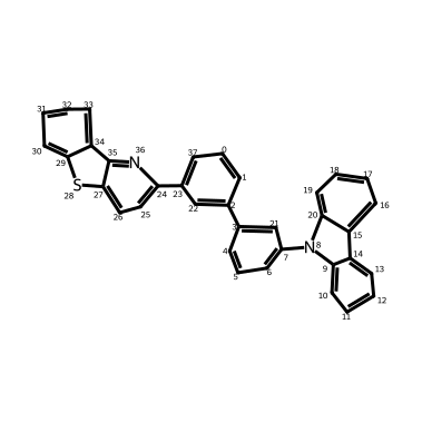 c1cc(-c2cccc(-n3c4ccccc4c4ccccc43)c2)cc(-c2ccc3sc4ccccc4c3n2)c1